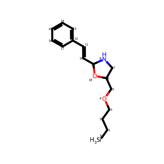 [SiH3]CCCOCC1CNC(/C=C/c2ccccc2)O1